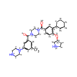 O=C(c1cc(N2CCNCC2)cc(C(F)(F)F)c1)N1CCN(C(=O)c2ccc(O[C@H]3CCNC3)c(C3CCCCC3)c2)CC1